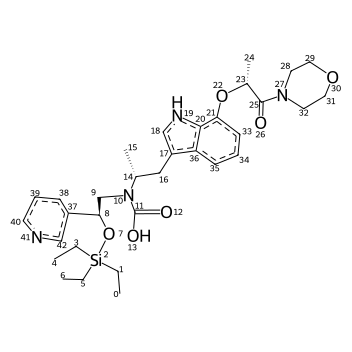 CC[Si](CC)(CC)O[C@H](CN(C(=O)O)[C@H](C)Cc1c[nH]c2c(O[C@H](C)C(=O)N3CCOCC3)cccc12)c1cccnc1